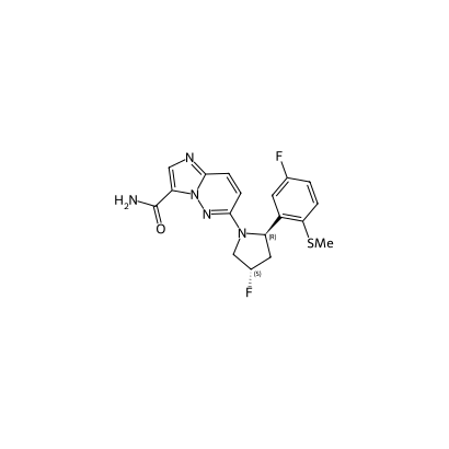 CSc1ccc(F)cc1[C@H]1C[C@H](F)CN1c1ccc2ncc(C(N)=O)n2n1